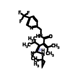 C=N/C(NC1(C)CC1)=C(/C(C(=O)NCc1ccc(C(F)(F)F)cn1)=C(C)C)C(C)C